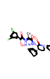 C[C@H](NC(=O)[C@H](O)c1cc(F)cc(F)c1)C(=O)N[C@@H]1C(=O)N[C@H](c2ccccc2)CC[C@@H]1c1ccccc1